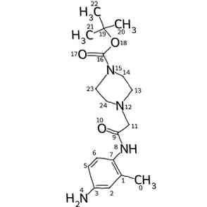 Cc1cc(N)ccc1NC(=O)CN1CCN(C(=O)OC(C)(C)C)CC1